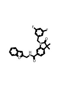 CC1(C)C(=O)N(Cc2cc(F)cc(F)c2)c2cc(C(=O)NCc3cc4ccccc4o3)ccc21